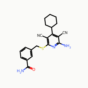 N#Cc1c(N)nc(SCc2cccc(C(N)=O)c2)c(C#N)c1C1CCCCC1